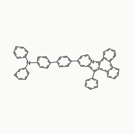 c1ccc(-c2c3c4ccccc4c4ccccc4c3n3ccc(-c4ccc(-c5ccc(N(c6ccccc6)c6ccccc6)cc5)cc4)cc23)cc1